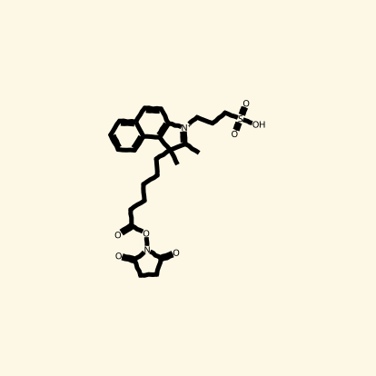 CC1=[N+](CCCS(=O)(=O)O)c2ccc3ccccc3c2C1(C)CCCCCC(=O)ON1C(=O)CCC1=O